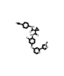 Cn1cc(-c2cc(Oc3ccc(NC(=O)C4(C(=O)Nc5ccc(C#N)cc5)CC4)c(F)c3)ccn2)cn1